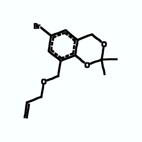 C=CCOCc1cc(Br)cc2c1OC(C)(C)OC2